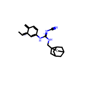 C=c1ccc(N/C(=N/C#N)NCC23CC4CC(CC2C4)C3)c/c1=C/C